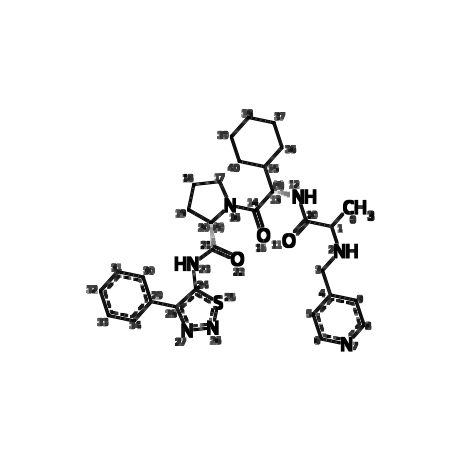 CC(NCc1ccncc1)C(=O)N[C@H](C(=O)N1CCC[C@H]1C(=O)Nc1snnc1-c1ccccc1)C1CCCCC1